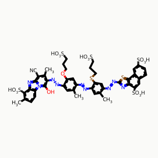 Cc1cc(N=Nc2cc(OCCCS(=O)(=O)O)c(N=Nc3c(C)c(C#N)c4nc5c(S(=O)(=O)O)c(C)ccc5n4c3O)cc2C)c(SCCCS(=O)(=O)O)cc1N=Nc1nc2c(S(=O)(=O)O)cc3ccc(S(=O)(=O)O)cc3c2s1